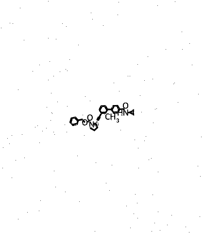 Cc1c(C#C[C@@H]2CCCN2C(=O)OCc2ccccc2)cccc1-c1ccc(C(=O)NC2CC2)cc1